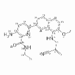 C=C(C#N)CNc1c(OC)ccc2ccc(-c3ccc(N)c(C(=O)NCC)n3)cc12